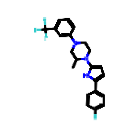 CC1CN(c2cccc(C(F)(F)F)c2)CCN1c1ccc(-c2ccc(F)cc2)[nH]1